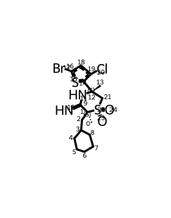 C[C@]1(CC2CCCCC2)C(=N)N[C@](C)(c2sc(Br)cc2Cl)CS1(=O)=O